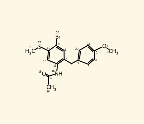 COc1ccc(Cc2cc(Br)c(SC)cc2NC(C)=O)cc1